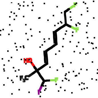 OC(C=CC=CC(F)CF)(C(F)I)C(F)(F)F